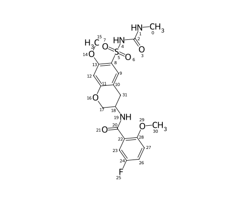 CNC(=O)NS(=O)(=O)c1cc2c(cc1OC)OCC(NC(=O)c1cc(F)ccc1OC)C2